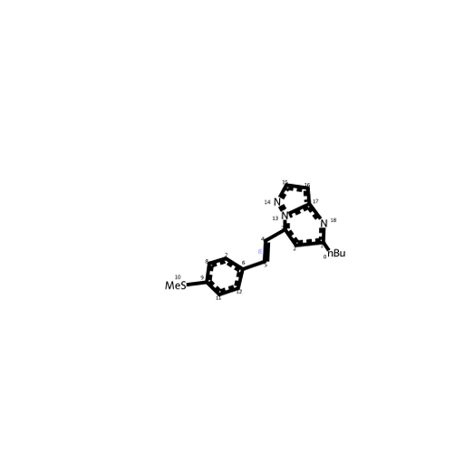 CCCCc1cc(/C=C/c2ccc(SC)cc2)n2nccc2n1